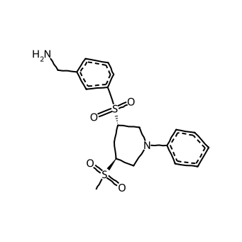 CS(=O)(=O)[C@H]1C[C@H](S(=O)(=O)c2cccc(CN)c2)CN(c2ccccc2)C1